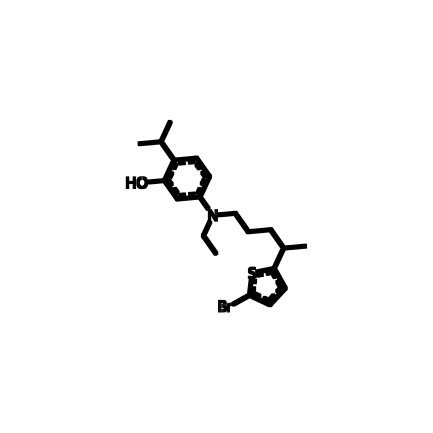 CCN(CCCC(C)c1ccc(Br)s1)c1ccc(C(C)C)c(O)c1